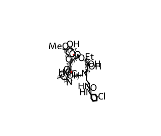 CC[C@H]1OC(=O)[C@H](C)[C@@H](O[C@H]2C[C@@](C)(OC)[C@@H](O)[C@H](C)O2)[C@H](C)[C@@H](O[C@@H]2O[C@H](C)C[C@H](N(C)C)[C@H]2O)[C@](C)(O)C[C@@H](C)CN(CCCNC(=O)Nc2cccc(Cl)c2)[C@H](C)[C@@H](O)[C@]1(C)O